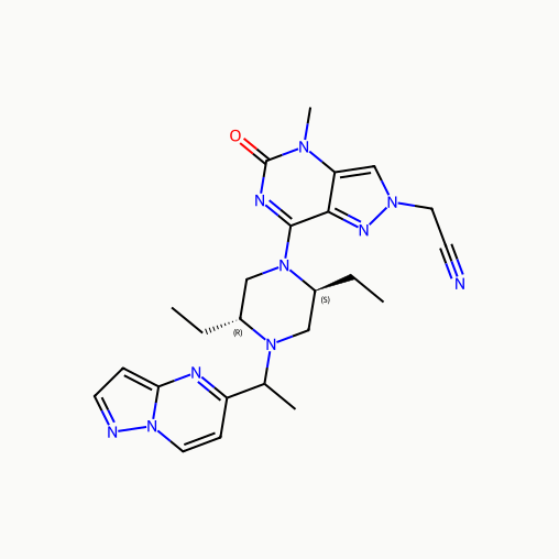 CC[C@H]1CN(C(C)c2ccn3nccc3n2)[C@H](CC)CN1c1nc(=O)n(C)c2cn(CC#N)nc12